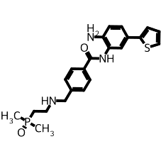 CP(C)(=O)CCNCc1ccc(C(=O)Nc2cc(-c3cccs3)ccc2N)cc1